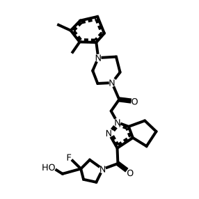 Cc1cccc(N2CCN(C(=O)Cn3nc(C(=O)N4CCC(F)(CO)C4)c4c3CCC4)CC2)c1C